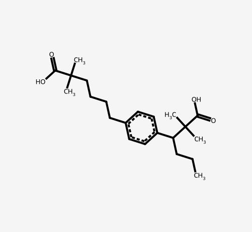 CCCC(c1ccc(CCCCC(C)(C)C(=O)O)cc1)C(C)(C)C(=O)O